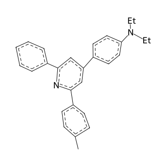 CCN(CC)c1ccc(-c2cc(-c3ccccc3)nc(-c3ccc(C)cc3)c2)cc1